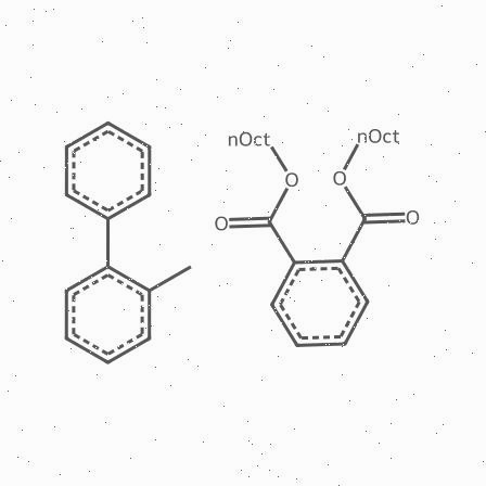 CCCCCCCCOC(=O)c1ccccc1C(=O)OCCCCCCCC.Cc1ccccc1-c1ccccc1